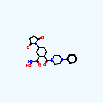 O=C(NO)[C@H]1CC(N2C(=O)CCC2=O)CCC1C(=O)N1CCN(c2ccccc2)CC1